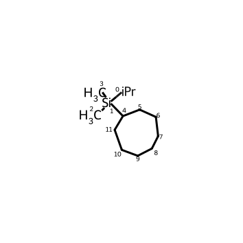 CC(C)[Si](C)(C)C1CCCCCCC1